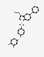 O=C(O)CCc1cn(S(=O)(=O)c2ccc(Oc3ccc(Cl)c(Cl)c3)cc2)c2ccc(-c3ccccc3)cc12